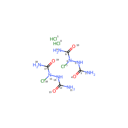 Cl.Cl.NC(=O)NN(Cl)C(N)=O.NC(=O)NN(Cl)C(N)=O